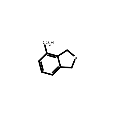 O=C(O)c1cccc2c1CSC2